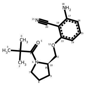 CC(C)(C)C(=O)N1CCC[C@@H]1COc1cccc(N)c1C#N